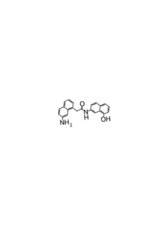 Nc1ccc2cccc(CC(=O)Nc3ccc4cccc(O)c4c3)c2c1